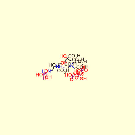 NCCN.O=C(O)CC(O)(CC(=O)O)C(=O)O.O=C(O)CN(CC(=O)O)CC(=O)O.O=C(O)O.O=P(O)(O)OP(=O)(O)OP(=O)(O)O.O=[PH](O)O